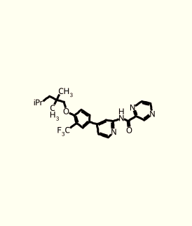 CC(C)CC(C)(C)COc1ccc(-c2ccnc(NC(=O)c3cnccn3)c2)cc1C(F)(F)F